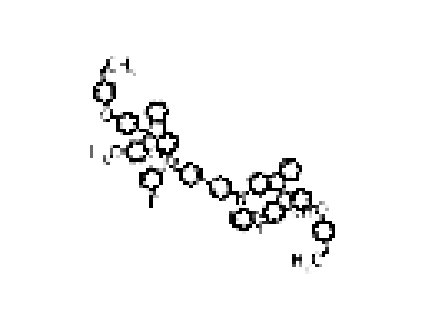 C=Cc1ccc(Oc2ccc(C3(c4cc(C)ccc4C)c4ccccc4-c4ccc(N(c5ccc(-c6ccc(N(c7cccc(F)c7)c7ccc8c(c7)C(c7ccc(Oc9ccc(C=C)cc9)cc7)(c7cc(C)ccc7C)c7ccccc7-8)cc6)cc5)c5cccc(F)c5)cc43)cc2)cc1